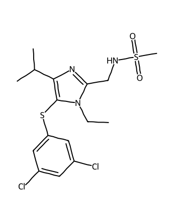 CCn1c(CNS(C)(=O)=O)nc(C(C)C)c1Sc1cc(Cl)cc(Cl)c1